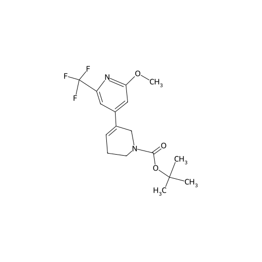 COc1cc(C2=CCCN(C(=O)OC(C)(C)C)C2)cc(C(F)(F)F)n1